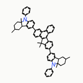 CC1CCC2(C)C(C1)c1cc(-c3ccc4c(c3)C(C)(C)c3c-4c4ccccc4c4cc(-c5ccc6c(c5)C5CC(C)CCC5(C)N6c5ccccc5)ccc34)ccc1N2c1ccccc1